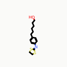 OCCCCCCc1ccc(N=C2SCCS2)cc1